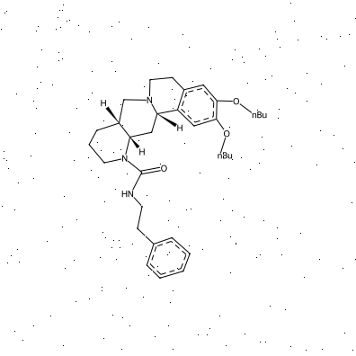 CCCCOc1cc2c(cc1OCCCC)[C@@H]1C[C@H]3[C@H](CCCN3C(=O)NCCc3ccccc3)CN1CC2